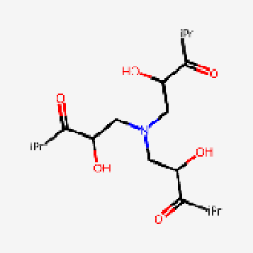 CC(C)C(=O)C(O)CN(CC(O)C(=O)C(C)C)CC(O)C(=O)C(C)C